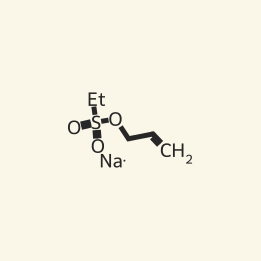 C=CCOS(=O)(=O)CC.[Na]